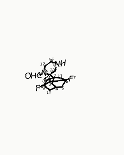 C[C@]1(C23CC4CC(F)(CC(F)(C4)C2)C3)CNCCN1C=O